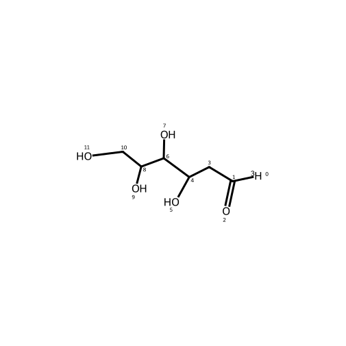 [3H]C(=O)CC(O)C(O)C(O)CO